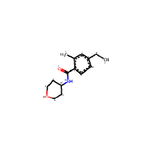 Cc1cc(CC#N)ccc1C(=O)NC1CCOCC1